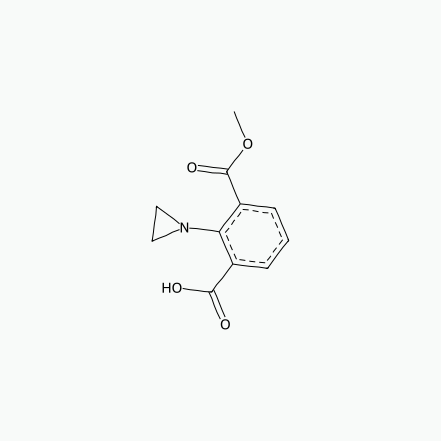 COC(=O)c1cccc(C(=O)O)c1N1CC1